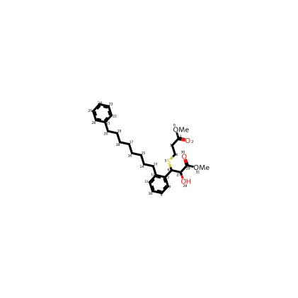 COC(=O)CCSC(c1ccccc1CCCCCCCCc1ccccc1)C(O)C(=O)OC